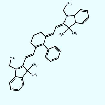 CCN1/C(=C/C=C2\CCCC(/C=C/C3=[N+](CC)c4ccccc4C3(C)C)=C2c2ccccc2)C(C)(C)C2C=CC=CC21